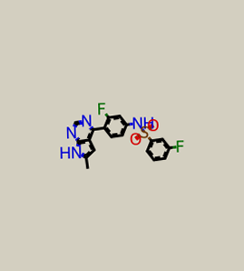 Cc1cc2c(-c3ccc(NS(=O)(=O)c4cccc(F)c4)cc3F)ncnc2[nH]1